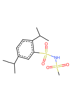 CC(C)c1ccc(C(C)C)c(S(=O)(=O)NS(C)(=O)=O)c1